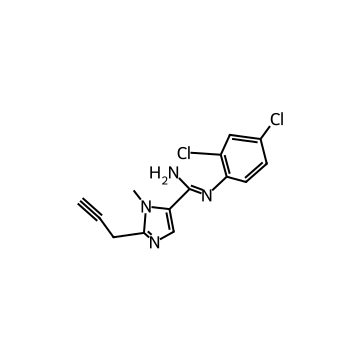 C#CCc1ncc(C(N)=Nc2ccc(Cl)cc2Cl)n1C